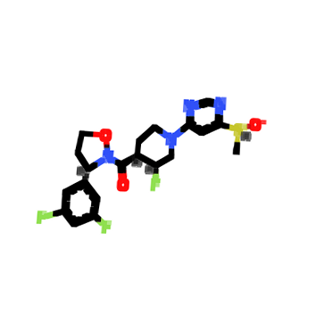 C[S@+]([O-])c1cc(N2CC[C@H](C(=O)N3OCC[C@H]3c3cc(F)cc(F)c3)[C@H](F)C2)ncn1